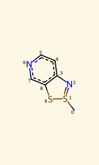 CS1=Nc2ccncc2S1